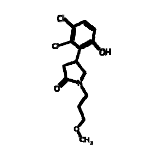 COCCCN1CC(c2c(O)ccc(Cl)c2Cl)CC1=O